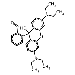 CCN(CC)c1ccc2c(c1)Oc1cc(N(CC)CC)ccc1C2(O)c1ccccc1C=O